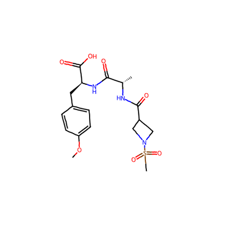 COc1ccc(C[C@H](NC(=O)[C@H](C)NC(=O)C2CN(S(C)(=O)=O)C2)C(=O)O)cc1